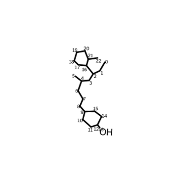 CCC(CC(C)CCCC1CCC(O)CC1)C1CCCCC1C